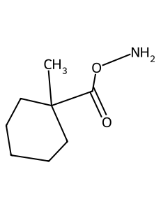 CC1(C(=O)ON)CCCCC1